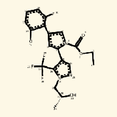 CCOC(=O)n1cc(-c2c(F)cccc2Cl)cc1-c1cnn(C[C@@H](C)O)c1C(F)(F)F